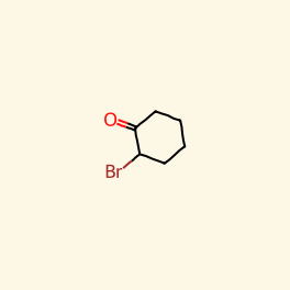 O=C1CCCCC1Br